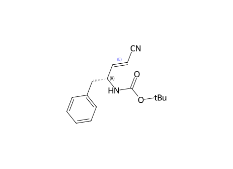 CC(C)(C)OC(=O)N[C@@H](/C=C/C#N)Cc1ccccc1